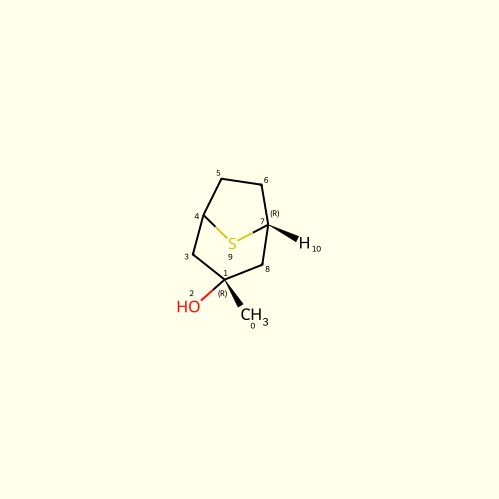 C[C@@]1(O)CC2CC[C@H](C1)S2